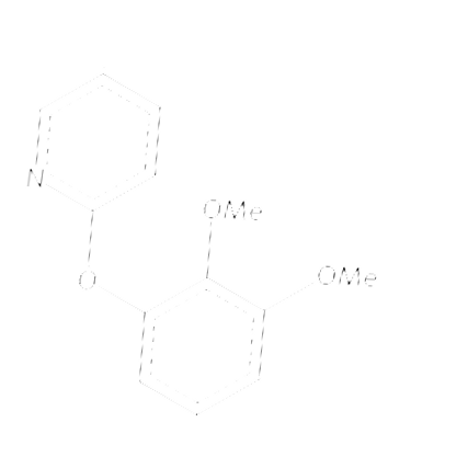 COc1cccc(Oc2cc[c]cn2)c1OC